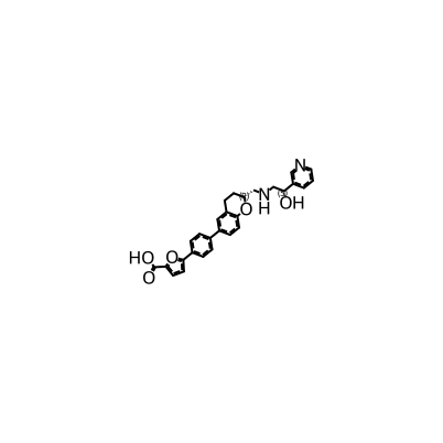 O=C(O)c1ccc(-c2ccc(-c3ccc4c(c3)CC[C@H](CNC[C@@H](O)c3cccnc3)O4)cc2)o1